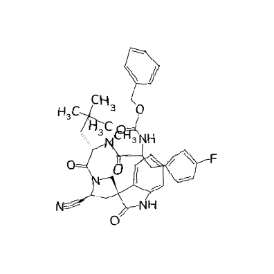 CN(C(=O)C(Cc1ccc(F)cc1)NC(=O)OCc1ccccc1)[C@@H](CC(C)(C)C)C(=O)N1C[C@]2(C[C@H]1C#N)C(=O)Nc1ccccc12